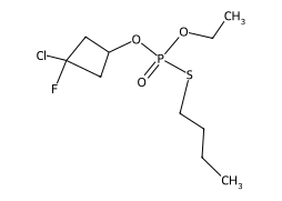 CCCCSP(=O)(OCC)OC1CC(F)(Cl)C1